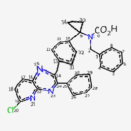 O=C(O)N(Cc1ccccc1)C1(c2ccc(-c3nc4ccc(Cl)nc4nc3-c3ccccc3)cc2)CC1